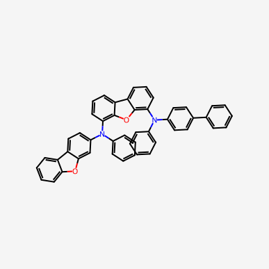 c1ccc(-c2ccc(N(c3ccccc3)c3cccc4c3oc3c(N(c5ccccc5)c5ccc6c(c5)oc5ccccc56)cccc34)cc2)cc1